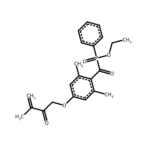 C=C(C)C(=O)COc1cc(C)c(C(=O)P(=O)(OCC)c2ccccc2)c(C)c1